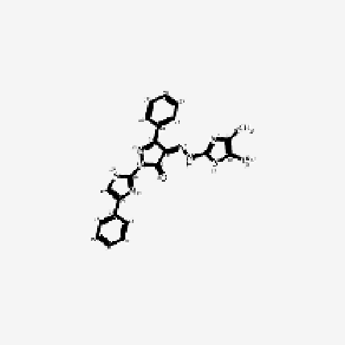 Cc1nc(N/N=C2\C(=O)N(c3nc(-c4ccccc4)cs3)N=C2c2ccccc2)sc1C(C)(C)C